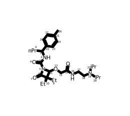 CCCC(NC(=O)N1C(=O)C(CC)(CC)C1OCC(=O)NCCN(C(C)C)C(C)C)c1ccc(C)cc1